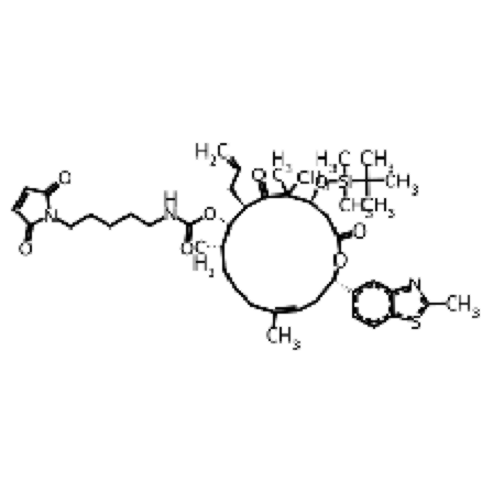 C=CC[C@H]1C(=O)C(C)(C)[C@@H](O[Si](C)(C)C(C)(C)C)CC(=O)O[C@H](c2ccc3sc(C)nc3c2)C/C=C(/C)CCC[C@H](C)[C@@H]1OC(=O)NCCCCCN1C(=O)C=CC1=O